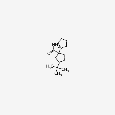 CC(C)(C)N1CCC(C(N)=O)(N2CCCC2)C1